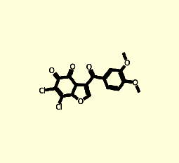 COc1ccc(C(=O)C2=COC3C(Cl)=C(Cl)C(=O)C(=O)C23)cc1OC